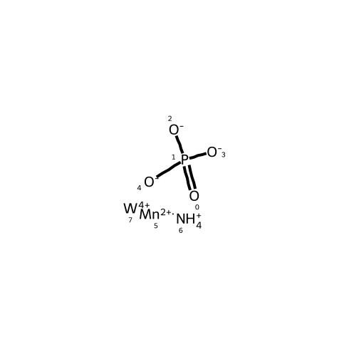 O=P([O-])([O-])[O-].[Mn+2].[NH4+].[W+4]